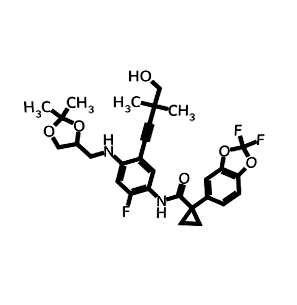 CC(C)(C#Cc1cc(NC(=O)C2(c3ccc4c(c3)OC(F)(F)O4)CC2)c(F)cc1NCC1COC(C)(C)O1)CO